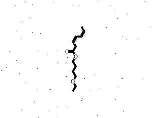 C/C=C\C=C/CC(=O)OCCCCOCC